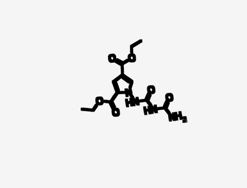 CCOC(=O)c1cc(C(=O)OCC)n(NC(=O)NC(N)=O)c1